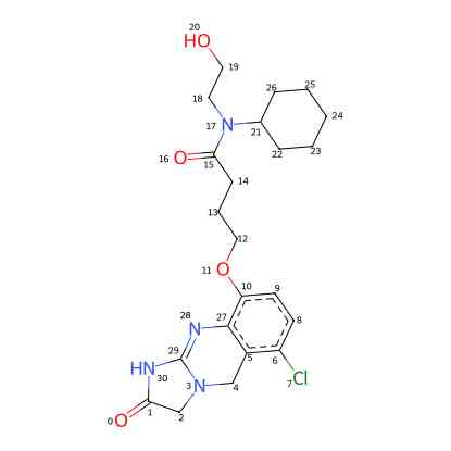 O=C1CN2Cc3c(Cl)ccc(OCCCC(=O)N(CCO)C4CCCCC4)c3N=C2N1